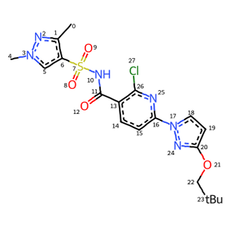 Cc1nn(C)cc1S(=O)(=O)NC(=O)c1ccc(-n2ccc(OCC(C)(C)C)n2)nc1Cl